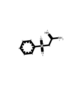 N=C(N)CS(=O)(=O)c1ccccc1